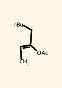 CC=C(CCCCC)OC(C)=O